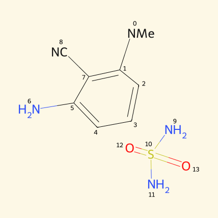 CNc1cccc(N)c1C#N.NS(N)(=O)=O